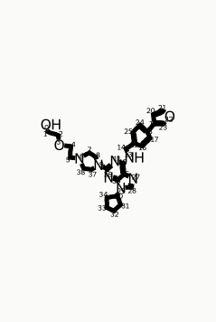 OCCOCCN1CCN(c2nc(NCc3ccc(-c4ccoc4)cc3)c3ncn(C4CCCC4)c3n2)CC1